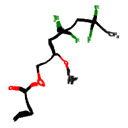 C=CC(=O)OCC(CC(F)(F)CC(F)(F)C(F)(F)F)OC(C)C